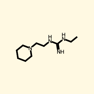 CCNC(=N)NCCN1CCCCC1